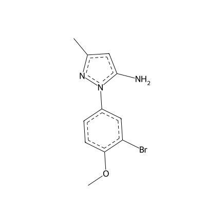 COc1ccc(-n2nc(C)cc2N)cc1Br